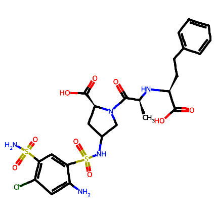 C[C@H](N[C@@H](CCc1ccccc1)C(=O)O)C(=O)N1CC(NS(=O)(=O)c2cc(S(N)(=O)=O)c(Cl)cc2N)C[C@H]1C(=O)O